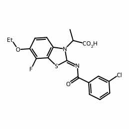 CCOc1ccc2c(sc(=NC(=O)c3cccc(Cl)c3)n2C(C)C(=O)O)c1F